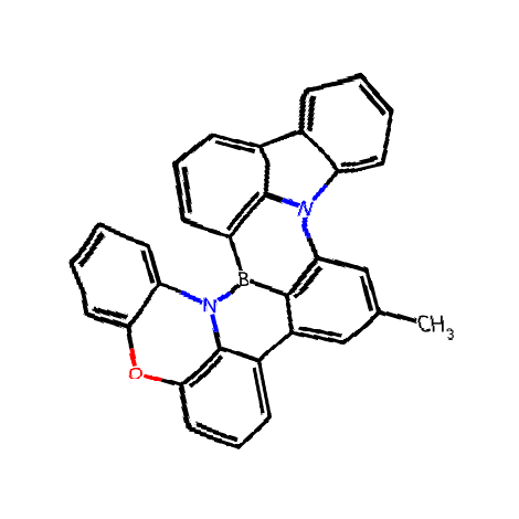 Cc1cc2c3c(c1)-n1c4ccccc4c4cccc(c41)B3N1c3ccccc3Oc3cccc-2c31